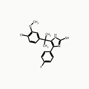 COc1cc(C(C)(C)c2[nH]c(S)nc2-c2ccc(F)cc2)ccc1Cl